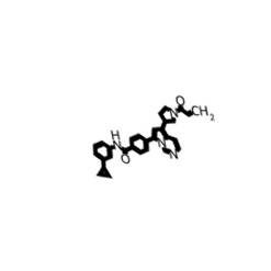 C=CC(=O)N1CCC(c2cc(-c3ccc(C(=O)Nc4cccc(C5CC5)c4)cc3)n3cnccc23)C1